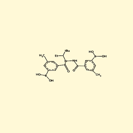 CCC(N(NC(=O)c1cc(C)cc(B(O)O)c1)C(=O)c1cc(C)cc(B(O)O)c1)C(C)(C)C